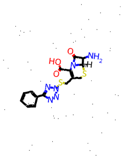 NC1C(=O)N2C(C(=O)O)=C(CSn3nnc(-c4ccccc4)n3)CS[C@H]12